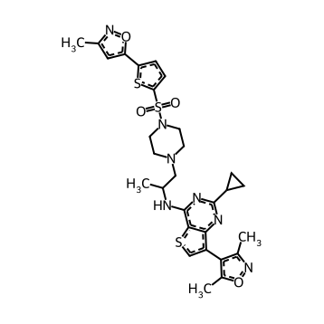 Cc1cc(-c2ccc(S(=O)(=O)N3CCN(CC(C)Nc4nc(C5CC5)nc5c(-c6c(C)noc6C)csc45)CC3)s2)on1